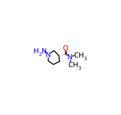 CN(C)C(=O)[C@@H]1CCCN(N)C1